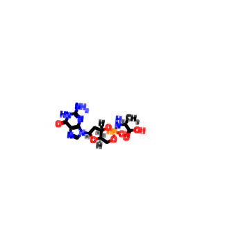 C[C@H](N[PH]1(O)OC[C@H]2O[C@@H](n3cnc4c(=O)[nH]c(N)nc43)C[C@@H]2O1)C(=O)O